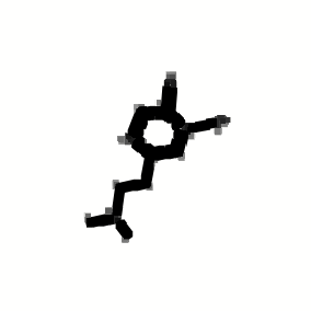 CC(C)n1cc(CCN(C)C)ncc1=O